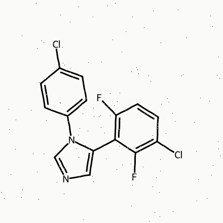 Fc1ccc(Cl)c(F)c1-c1cncn1-c1ccc(Cl)cc1